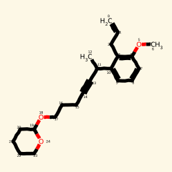 C=CCc1c(OC)cccc1C(C)C#CCCCOC1CCCCO1